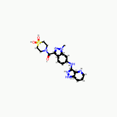 Cn1nc(C(=O)N2CCS(=O)(=O)CC2)c2ccc(Nc3n[nH]c4cccnc34)cc21